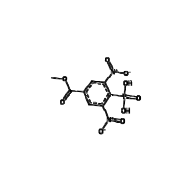 COC(=O)c1cc([N+](=O)[O-])c(P(=O)(O)O)c([N+](=O)[O-])c1